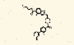 C=C/C=C(\C=C/C)c1ccc(C(=O)N2CCC(Cn3cc4c(C)c(C(=O)NCCOC)ccc4n3)CC2)cc1C